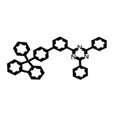 c1ccc(-c2nc(-c3ccccc3)nc(-c3cccc(-c4ccc(C5(c6ccccc6)c6ccccc6-c6ccccc65)cc4)c3)n2)cc1